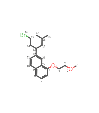 COCCOc1cccc2ccc(C(CCBr)CC(C)C)cc12